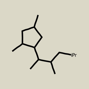 CC(C)CC(C)C(C)C1CC(C)CC1C